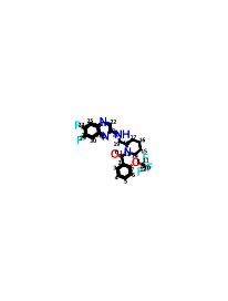 O=C(c1ccccc1OC(F)(F)F)N1CCCCC1CNc1cnc2cc(F)c(F)cc2n1